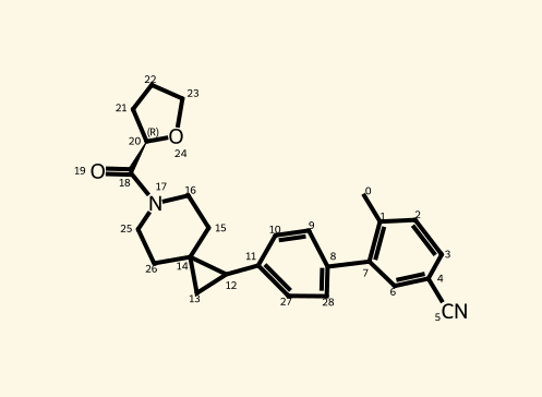 Cc1ccc(C#N)cc1-c1ccc(C2CC23CCN(C(=O)[C@H]2CCCO2)CC3)cc1